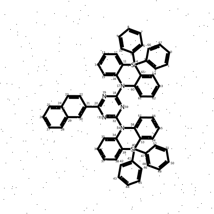 c1ccc([Si]2(c3ccccc3)c3ccccc3N(c3nc(-c4ccc5ccccc5c4)nc(N4c5ccccc5[Si](c5ccccc5)(c5ccccc5)c5ccccc54)n3)c3ccccc32)cc1